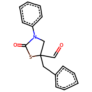 O=CC1(Cc2ccccc2)CN(c2ccccc2)C(=O)S1